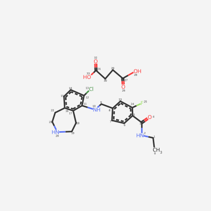 CCNC(=O)c1ccc(CNc2c(Cl)ccc3c2CCNCC3)cc1F.O=C(O)CCC(=O)O